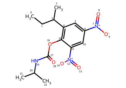 CCC(C)c1cc([N+](=O)[O-])cc([N+](=O)[O-])c1OC(=O)NC(C)C